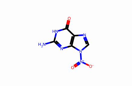 Nc1nc2c(ncn2[N+](=O)[O-])c(=O)[nH]1